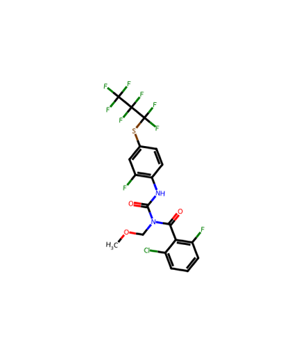 COCN(C(=O)Nc1ccc(SC(F)(F)C(F)(F)C(F)(F)F)cc1F)C(=O)c1c(F)cccc1Cl